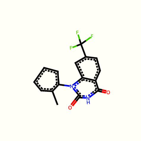 Cc1ccccc1-n1c(=O)[nH]c(=O)c2ccc(C(F)(F)F)cc21